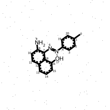 Cc1ccc(N=Nc2c(N)ccc3cccc(O)c23)cc1